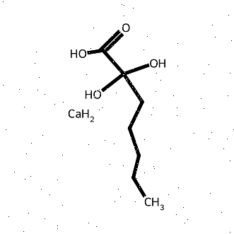 CCCCCC(O)(O)C(=O)O.[CaH2]